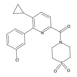 O=C(c1ccc(C2CC2)c(-c2cccc(Cl)c2)n1)N1CCS(=O)(=O)CC1